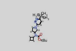 CC(C)(C)OC(=O)N(C1CCC1)[C@H]1CCN(c2cc[c]([Sn]([CH3])([CH3])[CH3])nn2)C1